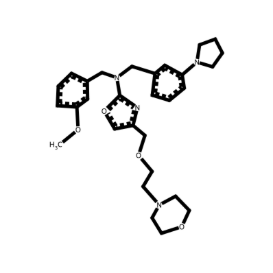 COc1cccc(CN(Cc2cccc(N3CCCC3)c2)c2nc(COCCN3CCOCC3)co2)c1